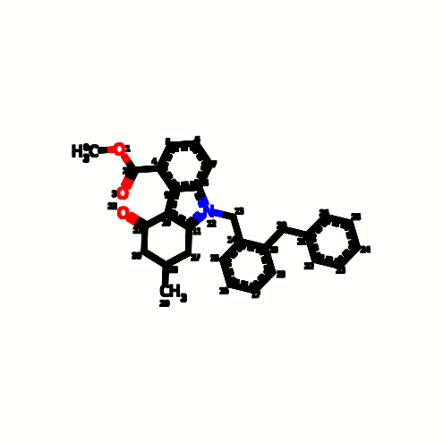 COC(=O)c1cccc2c1c1c(n2Cc2ccccc2Cc2ccccc2)CC(C)CC1=O